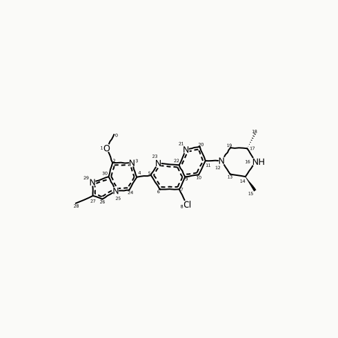 COc1nc(-c2cc(Cl)c3cc(N4C[C@H](C)N[C@@H](C)C4)cnc3n2)cn2cc(C)nc12